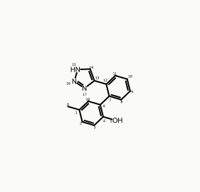 Cc1ccc(O)c(-c2ccccc2-c2c[nH]nn2)c1